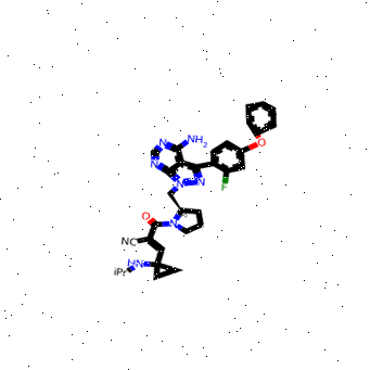 CC(C)NC1(C=C(C#N)C(=O)N2CCC[C@@H]2Cn2nc(-c3ccc(Oc4ccccc4)cc3F)c3c(N)ncnc32)CC1